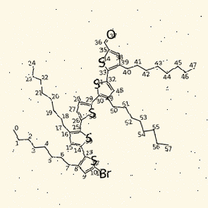 CCCCCCCCc1cc(Br)sc1-c1cc(CCCCCCCC)c(-c2ccc(-c3sc(-c4sc(C=O)cc4CCCCCCCC)cc3CCCCCCCC)s2)s1